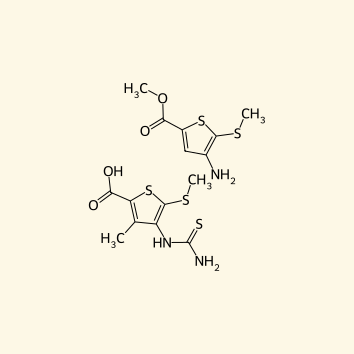 COC(=O)c1cc(N)c(SC)s1.CSc1sc(C(=O)O)c(C)c1NC(N)=S